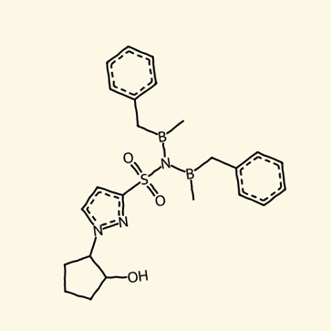 CB(Cc1ccccc1)N(B(C)Cc1ccccc1)S(=O)(=O)c1ccn(C2CCCC2O)n1